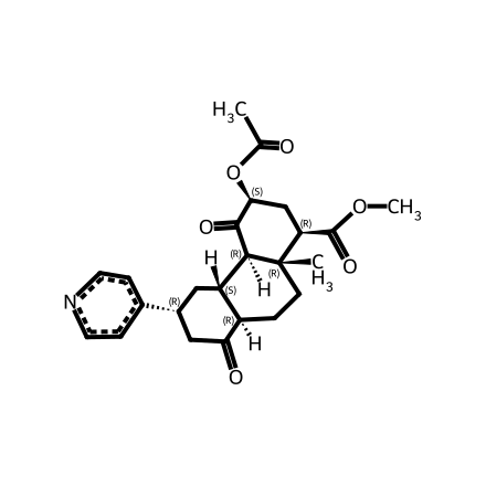 COC(=O)[C@@H]1C[C@H](OC(C)=O)C(=O)[C@@H]2[C@H]3C[C@@H](c4ccncc4)CC(=O)[C@@H]3CC[C@]21C